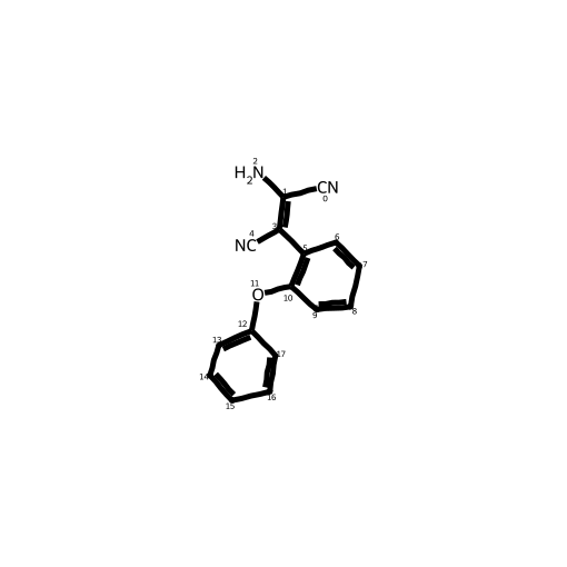 N#C/C(N)=C(/C#N)c1ccc[c]c1Oc1ccccc1